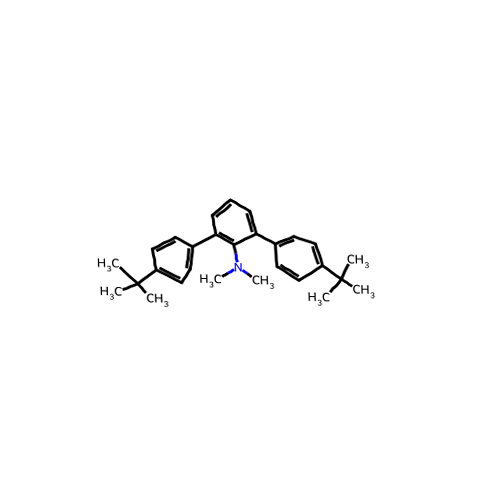 CN(C)c1c(-c2ccc(C(C)(C)C)cc2)cccc1-c1ccc(C(C)(C)C)cc1